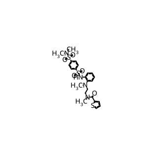 CN(CCN(C)c1ccccc1NS(=O)(=O)c1ccc(S(=O)(=O)N(C)C)cc1)C(=O)c1cccs1